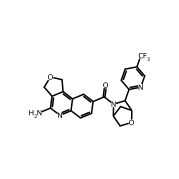 Nc1nc2ccc(C(=O)N3C4COC(C4)C3c3ccc(C(F)(F)F)cn3)cc2c2c1COC2